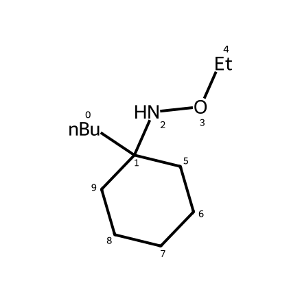 CCCCC1(NOCC)CCCCC1